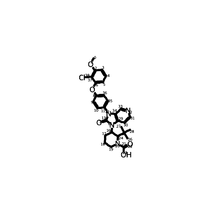 COc1cccc(Oc2ccc(-n3c(=O)n(C4CCCN(C(=O)O)C4C(C)(C)C)c4ccncc43)cc2)c1Cl